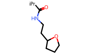 CC(C)C(=O)NCCC1CCCO1